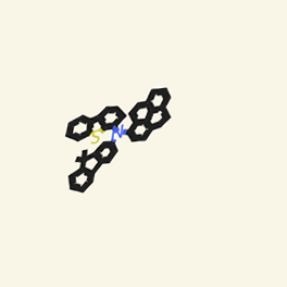 CC1(C)c2ccccc2-c2ccc(N(c3ccc4ccc5cccc6ccc3c4c56)c3cccc4c3sc3ccccc34)cc21